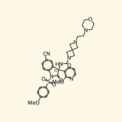 COc1ccc(S(=O)(=O)N2C(=O)[C@@](NC(=O)N3CC4(CN(CCN5CCOCC5)C4)C3)(c3cccnc3OC)c3cc(C#N)ccc32)cc1